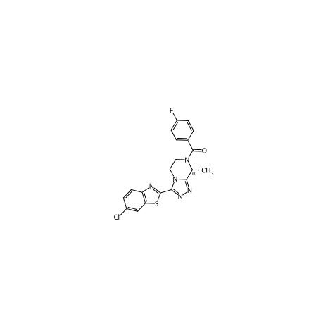 C[C@@H]1c2nnc(-c3nc4ccc(Cl)cc4s3)n2CCN1C(=O)c1ccc(F)cc1